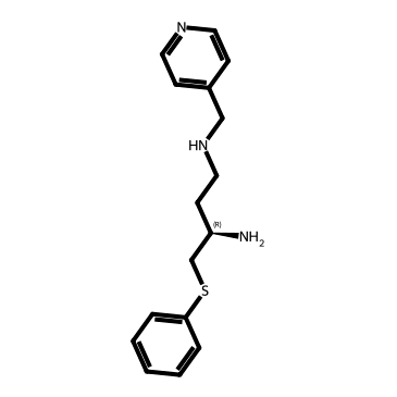 N[C@H](CCNCc1ccncc1)CSc1ccccc1